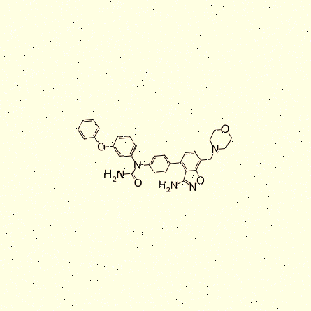 NC(=O)N(c1ccc(-c2ccc(CN3CCOCC3)c3onc(N)c23)cc1)c1cccc(Oc2ccccc2)c1